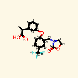 CC(C(=O)O)c1cccc(Oc2ccc(C(F)(F)F)cc2CN2CCOC2=O)c1